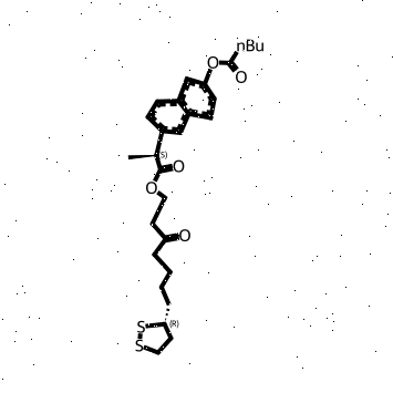 CCCCC(=O)Oc1ccc2cc([C@H](C)C(=O)OCCC(=O)CCCC[C@@H]3CCSS3)ccc2c1